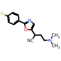 CN(C)CCC(C#N)c1cnc(-c2ccc(F)cc2)o1